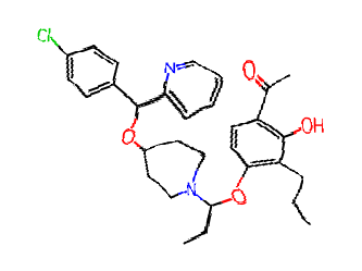 CCCc1c(OC(CC)N2CCC(OC(c3ccc(Cl)cc3)c3ccccn3)CC2)ccc(C(C)=O)c1O